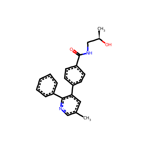 Cc1cnc(-c2ccccc2)c(-c2ccc(C(=O)NC[C@@H](C)O)cc2)c1